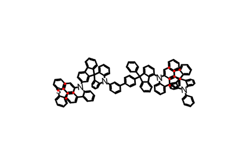 c1ccc(-c2cccc(-c3ccccc3N(c3ccc4c(c3)C3(c5ccccc5-4)c4ccccc4N(c4cccc(-c5ccc(C6(c7ccccc7)c7ccccc7-c7c(N(c8ccc9c(c8)C8(c%10ccccc%10-9)c9ccccc9N(c9ccccc9)c9ccccc98)c8ccccc8-c8cccc(-c9ccccc9)c8)cccc76)cc5)c4)c4ccccc43)c3ccc4sc5ccccc5c4c3)c2)cc1